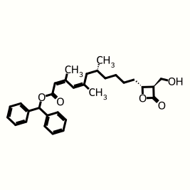 CC(=CC(=O)OC(c1ccccc1)c1ccccc1)C=C(C)C[C@H](C)CCCC[C@H]1OC(=O)[C@@H]1CO